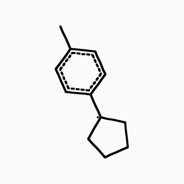 Cc1ccc([C]2CCCC2)cc1